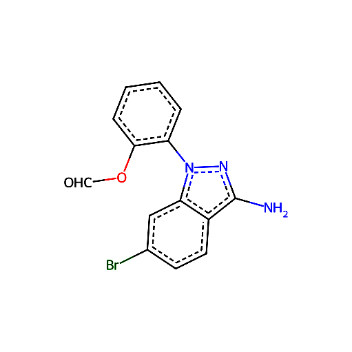 Nc1nn(-c2ccccc2OC=O)c2cc(Br)ccc12